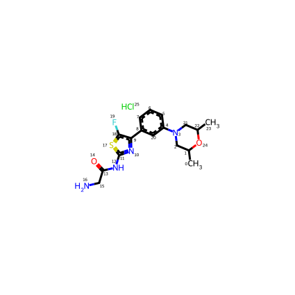 CC1CN(c2cccc(-c3nc(NC(=O)CN)sc3F)c2)CC(C)O1.Cl